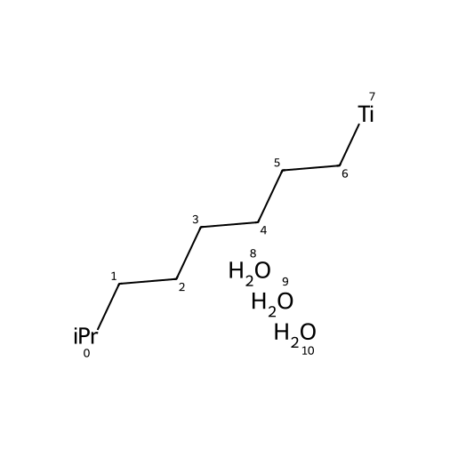 CC(C)CCCCC[CH2][Ti].O.O.O